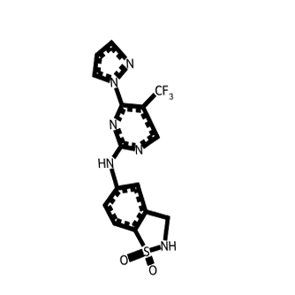 O=S1(=O)NCc2cc(Nc3ncc(C(F)(F)F)c(-n4cccn4)n3)ccc21